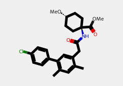 COC(=O)[C@]1(NC(=O)Cc2cc(-c3ccc(Cl)cc3)c(C)cc2C)CC[C@H](OC)CC1